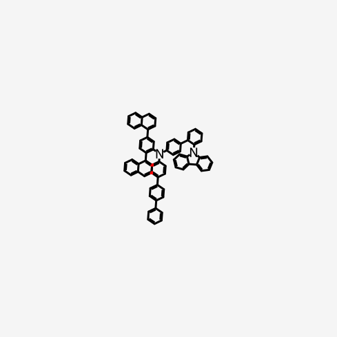 c1ccc(-c2ccc(-c3ccc(N(c4ccc(-c5ccccc5-n5c6ccccc6c6ccccc65)cc4)c4cc(-c5cccc6ccccc56)ccc4-c4cccc5ccccc45)cc3)cc2)cc1